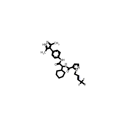 Cc1n[nH]c(C)c1-c1ccc(NC(=O)C(NC(=O)c2ccnn2C/C=C/C(F)(F)F)C2CCCCC2)cc1